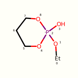 CCO[P]1(O)OCCCO1